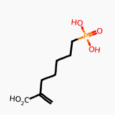 C=C(CCCCCP(=O)(O)O)C(=O)O